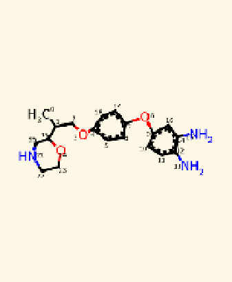 CC(COc1ccc(Oc2ccc(N)c(N)c2)cc1)C1CNCCO1